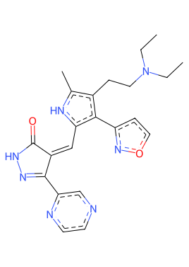 CCN(CC)CCc1c(C)[nH]c(C=C2C(=O)NN=C2c2cnccn2)c1-c1ccon1